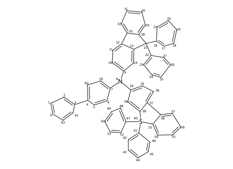 c1ccc(-c2ccc(N(c3ccc4c(c3)C(c3ccccc3)(c3ccccc3)c3ccccc3-4)c3ccc4c(c3)S(c3ccccc3)(c3ccccc3)c3ccccc3-4)cc2)cc1